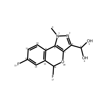 Cn1nc(C(O)O)c2c1-c1ccc(F)cc1C(F)O2